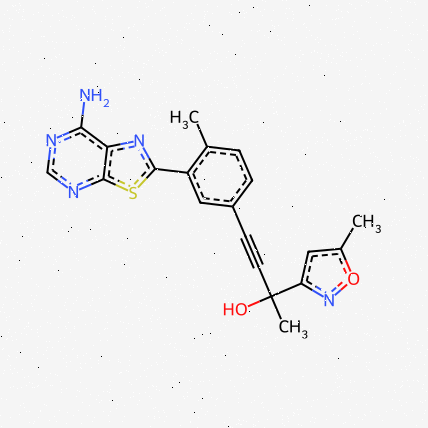 Cc1cc(C(C)(O)C#Cc2ccc(C)c(-c3nc4c(N)ncnc4s3)c2)no1